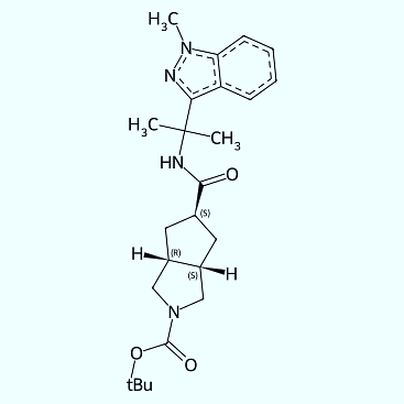 Cn1nc(C(C)(C)NC(=O)[C@H]2C[C@@H]3CN(C(=O)OC(C)(C)C)C[C@@H]3C2)c2ccccc21